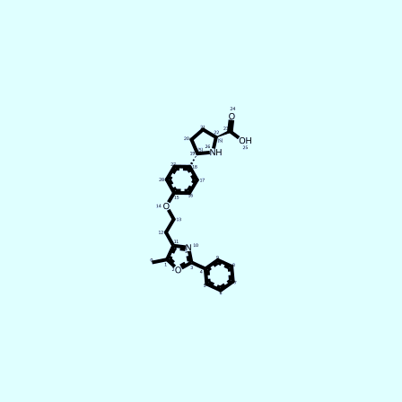 Cc1oc(-c2ccccc2)nc1CCOc1ccc([C@@H]2CC[C@@H](C(=O)O)N2)cc1